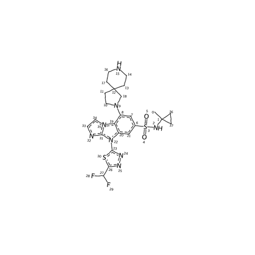 CC1(NS(=O)(=O)c2cc(N3CCC4(CCNCC4)C3)c3c(c2)n(-c2nnc(C(F)F)s2)c2nccn32)CC1